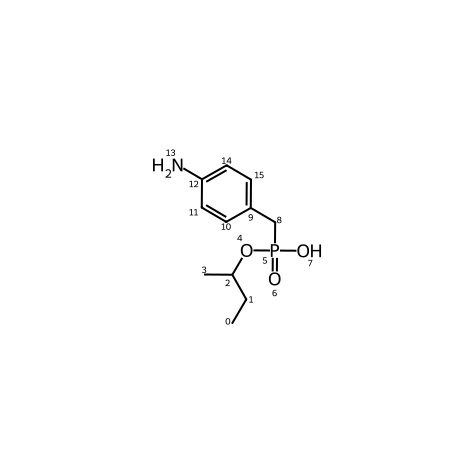 CCC(C)OP(=O)(O)Cc1ccc(N)cc1